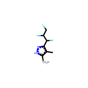 Cc1c(C(F)C(F)CF)n[nH]c1C(=O)O